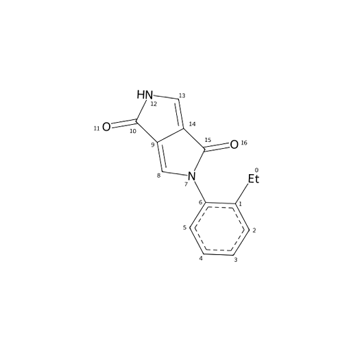 CCc1ccccc1N1C=C2C(=O)NC=C2C1=O